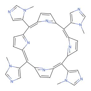 Cn1cncc1C1=C2C=CC(=N2)C(c2cncn2C)=C2C=CC(=N2)C(c2cncn2C)=C2C=CC(=N2)C(c2cncn2C)=C2C=CC1=N2